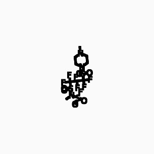 CN1CCN(S(=O)(=O)C(F)(F)C(F)(F)C(F)(F)S(=O)(=O)N(C)S(=O)(=O)F)CC1